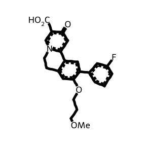 COCCCOc1cc2c(cc1-c1cccc(F)c1)-c1cc(=O)c(C(=O)O)cn1CC2